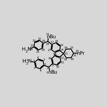 CCCCC(c1ccc(N)cc1)c1ccc(C2(c3ccc(C(CCCC)c4ccc(N)cc4)cc3)CCC(CCC)CC2)cc1